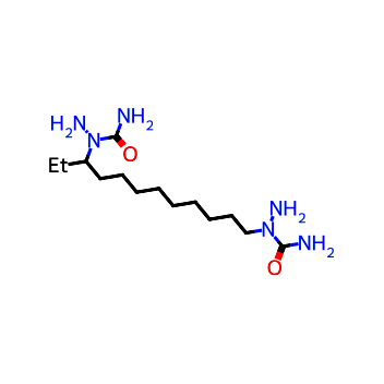 CCC(CCCCCCCCCN(N)C(N)=O)N(N)C(N)=O